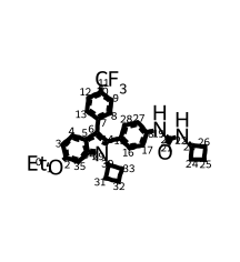 CCOc1ccc2c(-c3ccc(C(F)(F)F)cc3)c(-c3ccc(NC(=O)NC4CCC4)cc3)n(C3CCC3)c2c1